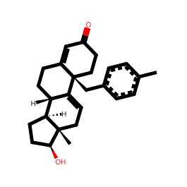 Cc1ccc(C[C@]23CCC(=O)C=C2CC[C@@H]2C3=CC[C@]3(C)[C@@H](O)CC[C@@H]23)cc1